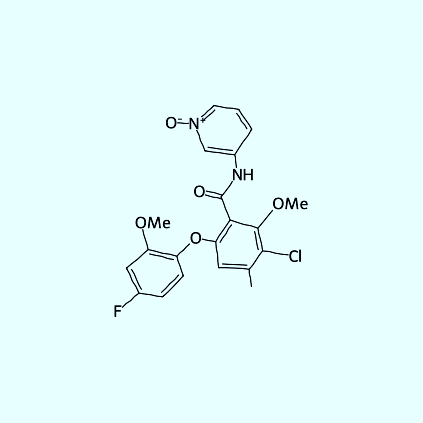 COc1cc(F)ccc1Oc1cc(C)c(Cl)c(OC)c1C(=O)Nc1ccc[n+]([O-])c1